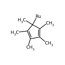 CC1=C(C)[C](C)([Ru])C(C)=C1C